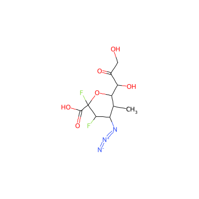 CC1C(N=[N+]=[N-])C(F)C(F)(C(=O)O)OC1C(O)C(=O)CO